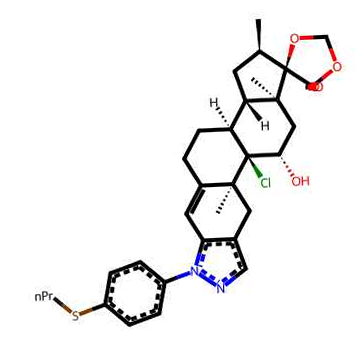 CCCSc1ccc(-n2ncc3c2C=C2CC[C@H]4[C@@H]5C[C@@H](C)[C@@]6(OCOC67COCO7)[C@@]5(C)C[C@H](O)[C@]4(Cl)[C@@]2(C)C3)cc1